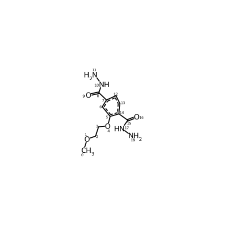 COCCOc1cc(C(=O)NN)ccc1C(=O)NN